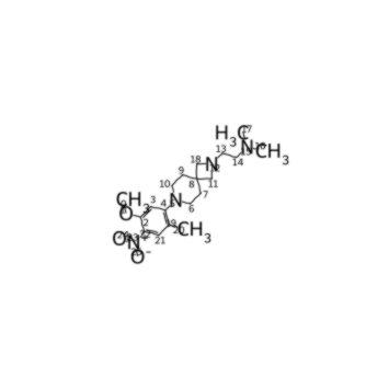 COc1cc(N2CCC3(CC2)CN(CCN(C)C)C3)c(C)cc1[N+](=O)[O-]